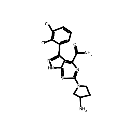 NC(=O)c1nc(N2CCC(N)C2)nc2[nH]nc(-c3cccc(Cl)c3Cl)c12